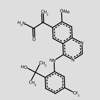 C=C(C(N)=O)c1cc2c(Nc3cc(C(F)(F)F)ccc3C(C)(C)O)ncnc2cc1OC